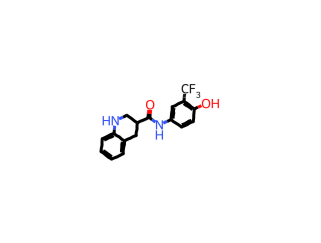 O=C(Nc1ccc(O)c(C(F)(F)F)c1)C1CNc2ccccc2C1